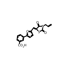 C=CCN1C(=O)S/C(=C\c2ccc(-c3cccc(C(=O)O)c3)o2)C1=O